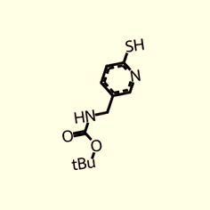 CC(C)(C)OC(=O)NCc1ccc(S)nc1